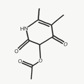 CC(=O)OC1C(=O)NC(C)=C(C)C1=O